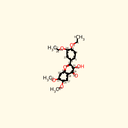 CCOc1ccc(-c2oc3cc(OC)c(OC)cc3c(=O)c2O)cc1OCC